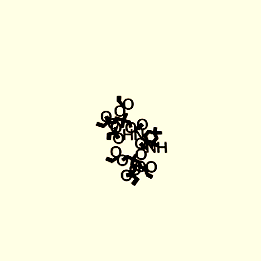 C=CC(=O)OCC(COC(=O)C=C)(COC(=O)C=C)COC(=O)NC1CC(C)(C)CC(C)(NC(=O)OCC(COC(=O)C=C)(COC(=O)C=C)COC(=O)C=C)C1